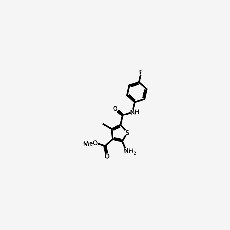 COC(=O)c1c(N)sc(C(=O)Nc2ccc(F)cc2)c1C